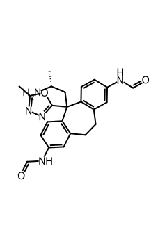 Cc1nnc(C2(C[C@@H](C)N)c3ccc(NC=O)cc3CCc3cc(NC=O)ccc32)o1